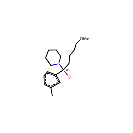 COCCCC[C@](O)(c1cccc(C)c1)N1CCCCC1